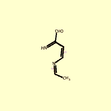 C/C=N\C=C/C(=N)C=O